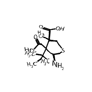 CC(C)(C)C1(C(=O)O)C(N)SCC1(C)C(=O)O